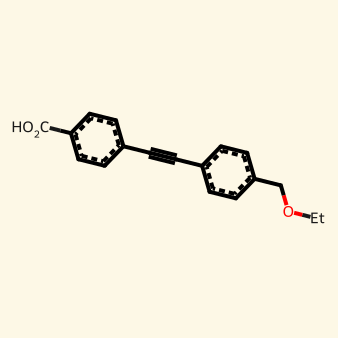 CCOCc1ccc(C#Cc2ccc(C(=O)O)cc2)cc1